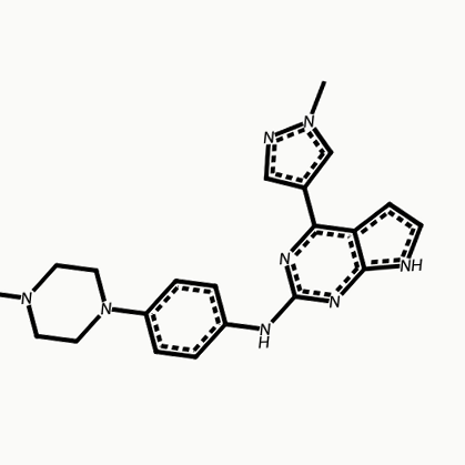 CN1CCN(c2ccc(Nc3nc(-c4cnn(C)c4)c4cc[nH]c4n3)cc2)CC1